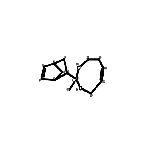 C[Si]1(C2CC3C=CC2C3)OC/C=C\CCO1